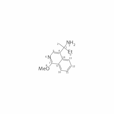 CCC(C)(N)c1cnc(OC)c2ccccc12